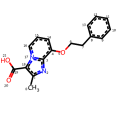 Cc1nc2c(OCCc3ccccc3)cccn2c1C(=O)O